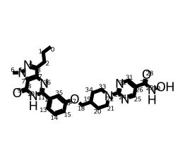 CCCc1nn(C)c2c(=O)[nH]c(-c3cccc(OCC4CCN(c5ncc(C(=O)NO)cn5)CC4)c3)nc12